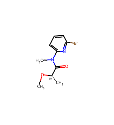 CO[C@@H](C)C(=O)N(C)c1cccc(Br)n1